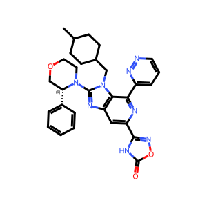 CC1CCC(Cn2c(N3CCOC[C@H]3c3ccccc3)nc3cc(-c4noc(=O)[nH]4)nc(-c4cccnn4)c32)CC1